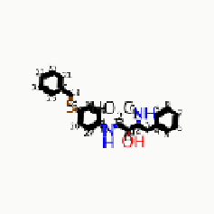 O=C(O)NC(Cc1ccccc1)[C@@H](O)CNc1ccc(SCc2ccccc2)cc1